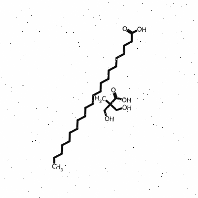 CC(CO)(CO)C(=O)O.CCCCCCCCCCCCCCCCCCCCCC(=O)O